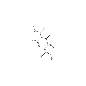 COC(=O)C(C(C)c1ccc(Cl)c(Cl)c1)[N+](=O)[O-]